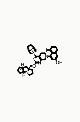 Oc1cc(N2CCc3c(nc(OC[C@@]45CCCN4[C@H]4CCC[C@H]4C5)nc3N3CC4CCC(C3)N4)C2)c2c(I)cccc2c1